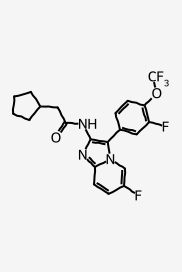 O=C(CC1CCCC1)Nc1nc2ccc(F)cn2c1-c1ccc(OC(F)(F)F)c(F)c1